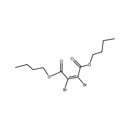 CCCCOC(=O)/C(Br)=C(/Br)C(=O)OCCCC